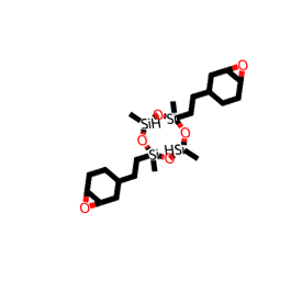 C[SiH]1O[Si](C)(CCC2CCC3OC3C2)O[SiH](C)O[Si](C)(CCC2CCC3OC3C2)O1